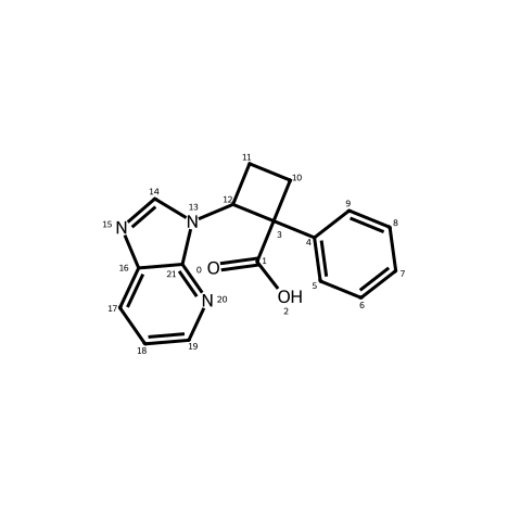 O=C(O)C1(c2ccccc2)CCC1n1cnc2cccnc21